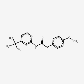 COc1ccc(OC(=O)Nc2cccc(C(C)(C)C)n2)cc1